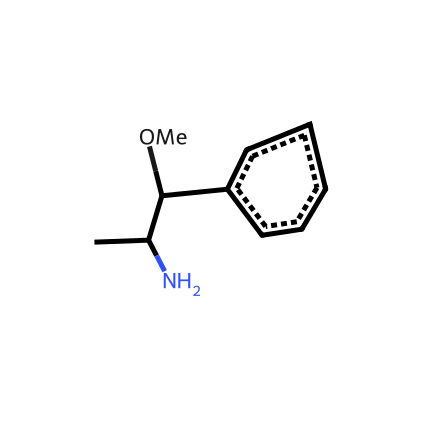 COC(c1ccccc1)C(C)N